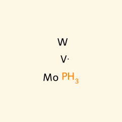 P.[Mo].[V].[W]